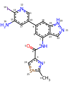 Cc1nc(C(=O)Nc2cc(-c3cnc(I)c(N)c3)cc3[nH]ncc23)cs1